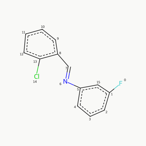 Fc1cccc(N=Cc2ccccc2Cl)c1